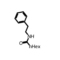 [CH2]CCCCCC(=O)NCCc1ccccc1